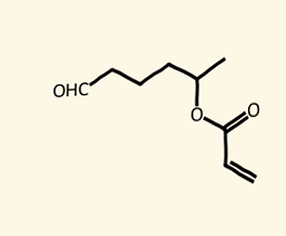 C=CC(=O)OC(C)CCCC=O